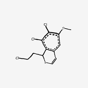 COc1cc2c(c(Cl)c1Cl)C(CCCl)SC=C2